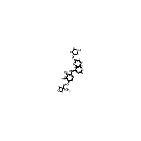 CC1(COc2ccc(Nc3ncnc4ccc(O[C@H]5CCNC5)nc34)c(F)c2Cl)COC1